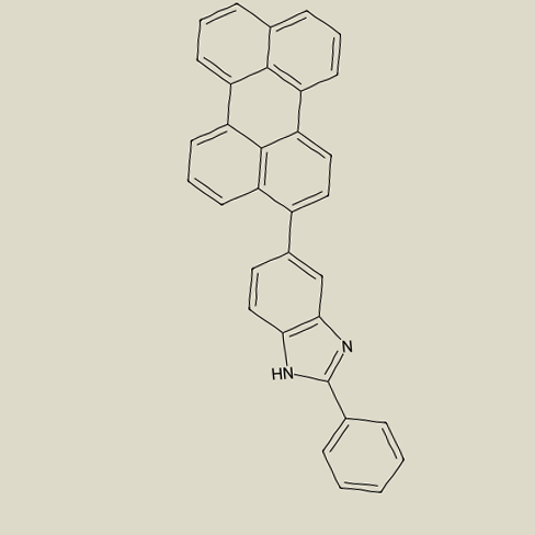 c1ccc(-c2nc3cc(-c4ccc5c6cccc7cccc(c8cccc4c85)c76)ccc3[nH]2)cc1